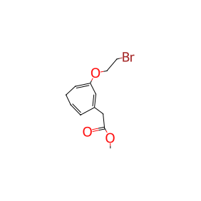 COC(=O)CC1=CC(OCCBr)=CCC=C1